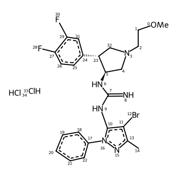 COCCN1C[C@@H](NC(=N)Nc2c(Br)c(C)nn2-c2ccccc2)[C@H](c2ccc(F)c(F)c2)C1.Cl.Cl